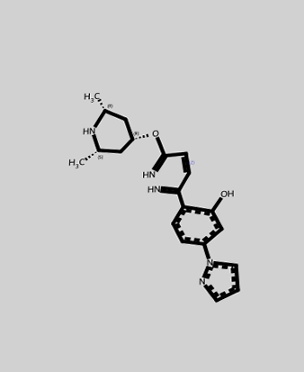 C[C@@H]1C[C@H](OC(=N)/C=C\C(=N)c2ccc(-n3cccn3)cc2O)C[C@H](C)N1